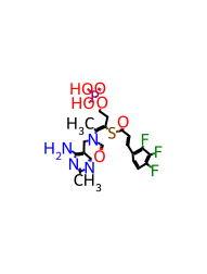 C/C(=C(\CCOP(=O)(O)O)SC(=O)/C=C/c1ccc(F)c(F)c1F)N(C=O)Cc1cnc(C)nc1N